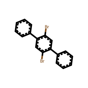 Brc1cc(-c2ccccc2)c(Br)cc1-c1ccccc1